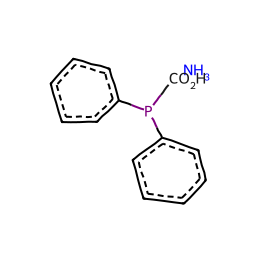 N.O=C(O)P(c1ccccc1)c1ccccc1